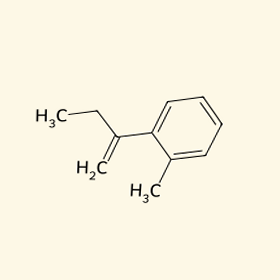 C=C(CC)c1ccccc1C